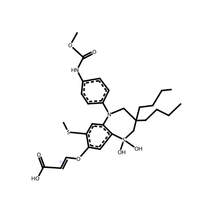 CCCCC1(CCCC)CN(c2ccc(NC(=O)OC)cc2)c2cc(SC)c(O/C=C/C(=O)O)cc2S(O)(O)C1